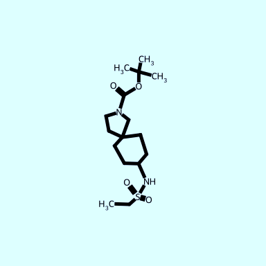 CCS(=O)(=O)NC1CCC2(CC1)CCN(C(=O)OC(C)(C)C)C2